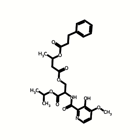 COc1ccnc(C(=O)NC(COC(=O)CC(C)OC(=O)CCc2ccccc2)C(=O)OC(C)C)c1O